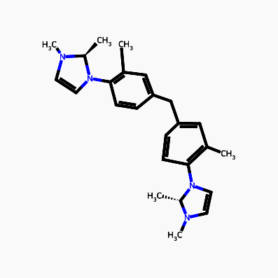 Cc1cc(Cc2ccc(N3C=CN(C)[C@@H]3C)c(C)c2)ccc1N1C=CN(C)[C@H]1C